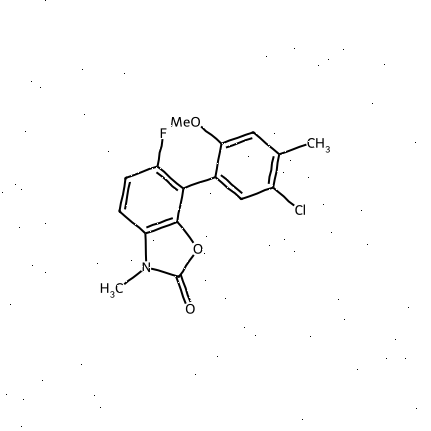 COc1cc(C)c(Cl)cc1-c1c(F)ccc2c1oc(=O)n2C